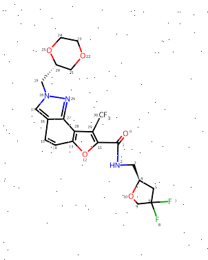 O=C(NC[C@H]1CC(F)(F)CO1)c1oc2ccc3cn(C[C@H]4COCCO4)nc3c2c1C(F)(F)F